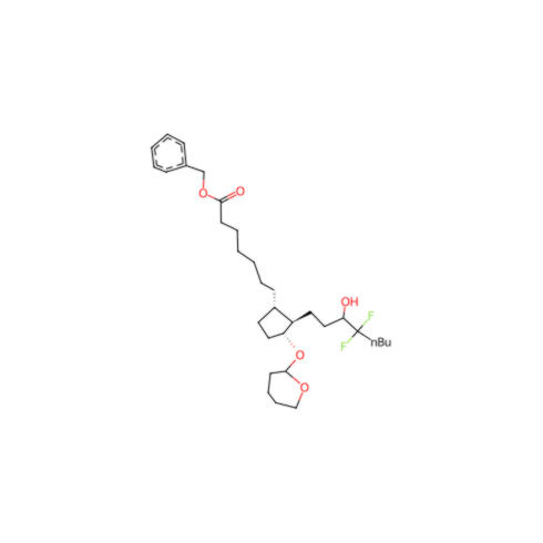 CCCCC(F)(F)C(O)CC[C@@H]1[C@@H](CCCCCCC(=O)OCc2ccccc2)CC[C@H]1OC1CCCCO1